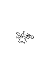 COCCNC(=O)C1(c2ccc(CN3[C@@H](C)CC[C@H](c4ccccc4)S3(=O)=O)c(F)c2)CCOCC1